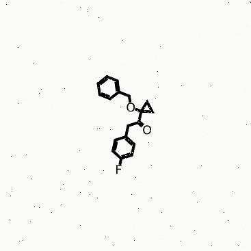 O=C(Cc1ccc(F)cc1)C1(OCc2ccccc2)CC1